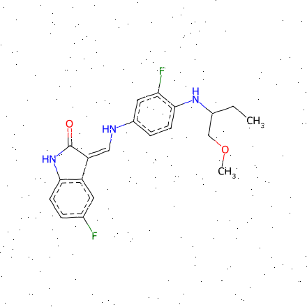 CCC(COC)Nc1ccc(NC=C2C(=O)Nc3ccc(F)cc32)cc1F